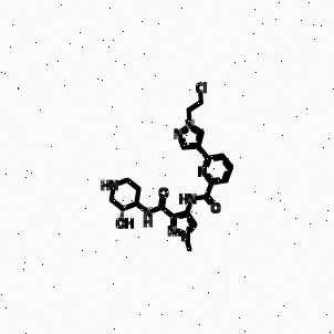 Cn1cc(NC(=O)c2cccc(-c3cnn(CCCl)c3)n2)c(C(=O)NC2CCNC[C@H]2O)n1